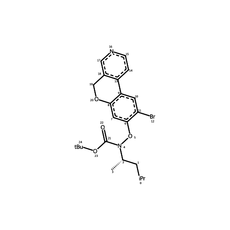 CC(C)C[C@H](C)N(Oc1cc2c(cc1Br)-c1ccncc1CO2)C(=O)OC(C)(C)C